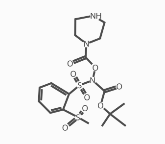 CC(C)(C)OC(=O)N(OC(=O)N1CCNCC1)S(=O)(=O)c1ccccc1S(C)(=O)=O